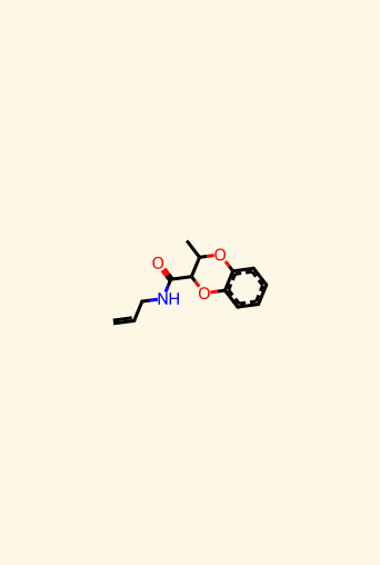 C=CCNC(=O)C1Oc2ccccc2OC1C